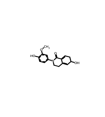 COc1cc(N2CCC3=CC(O)CC=C3C2=O)ccc1O